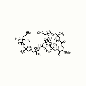 CN[C@@H](CCC(=O)NCC(C)(C)COCC(C)(C)CC=O)C(=O)NCC(C)(C)COCC(C)(C)CC(=O)NCC(C)(C)COCC(C)(C)CNC(=O)C(C)(C)CCC(C)(C)C